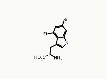 CCc1cc(Br)cc2[nH]cc(C[C@H](N)C(=O)O)c12